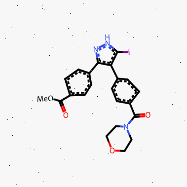 COC(=O)c1ccc(-c2n[nH]c(I)c2-c2ccc(C(=O)N3CCOCC3)cc2)cc1